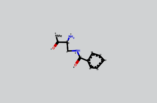 CNC(=O)[C@@H](N)CNC(=O)c1ccccc1